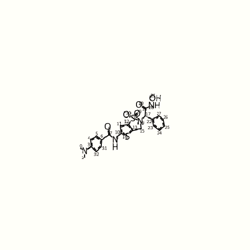 CN(C)c1ccc(C(=O)Nc2cc3c(s2)CN([C@@H](C(=O)NO)c2ccccc2)S3(=O)=O)cc1